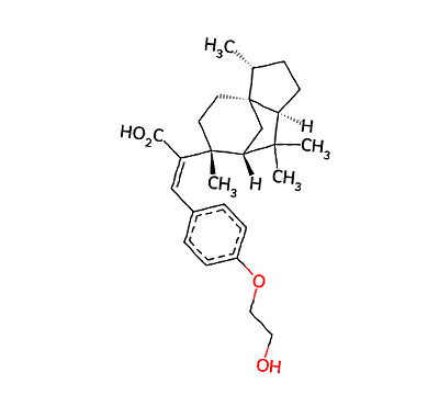 C[C@@H]1CC[C@H]2C(C)(C)[C@H]3C[C@@]12CC[C@@]3(C)/C(=C\c1ccc(OCCO)cc1)C(=O)O